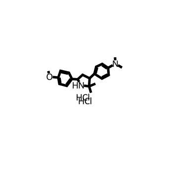 COc1ccc(C2CC(c3ccc(N(C)C)cc3)C(C)(C)N2)cc1.Cl.Cl